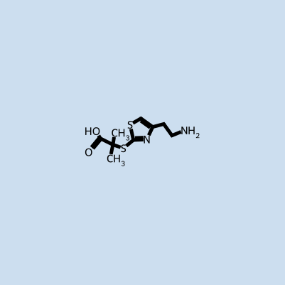 CC(C)(Sc1nc(CCN)cs1)C(=O)O